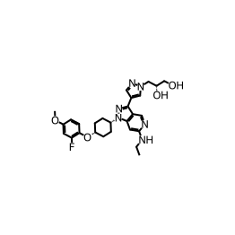 CCNc1cc2c(cn1)c(-c1cnn(C[C@@H](O)CO)c1)nn2[C@H]1CC[C@@H](Oc2ccc(OC)cc2F)CC1